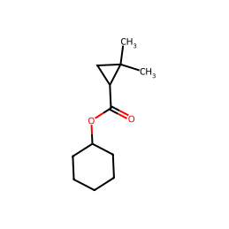 CC1(C)CC1C(=O)OC1CCCCC1